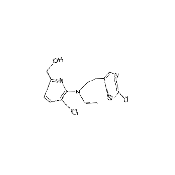 CCN(Cc1cnc(Cl)s1)c1nc(CO)ccc1Cl